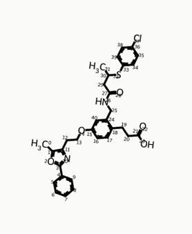 Cc1oc(-c2ccccc2)nc1CCOc1ccc(CCC(=O)O)c(CNC(=O)CC(C)Sc2ccc(Cl)cc2)c1